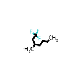 [CH2]C(CCCC)CC(F)(F)F